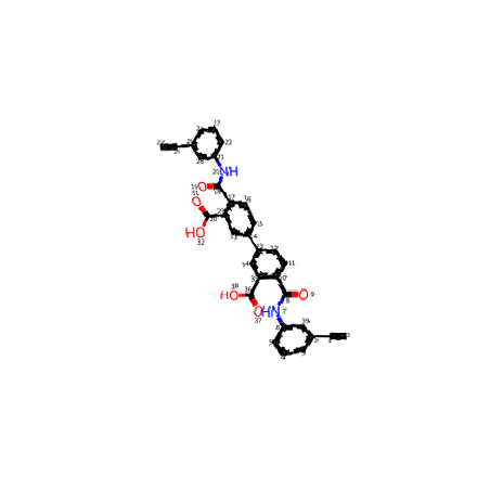 C#Cc1cccc(NC(=O)c2ccc(-c3ccc(C(=O)Nc4cccc(C#C)c4)c(C(=O)O)c3)cc2C(=O)O)c1